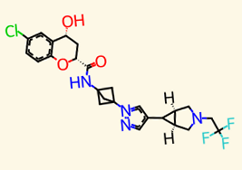 O=C(NC12CC(n3cc(C4[C@H]5CN(CC(F)(F)F)C[C@@H]45)cn3)(C1)C2)[C@H]1C[C@@H](O)c2cc(Cl)ccc2O1